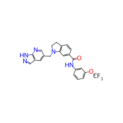 O=C(Nc1cccc(OC(F)(F)F)c1)c1ccc2c(c1)N(Cc1cnc3[nH]ncc3c1)CC2